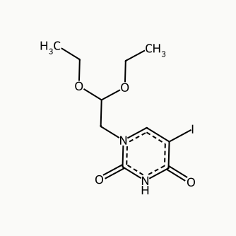 CCOC(Cn1cc(I)c(=O)[nH]c1=O)OCC